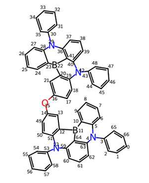 c1ccc(N2c3ccccc3B3c4cc(Oc5ccc6c(c5)B5c7ccccc7N(c7ccccc7)c7cccc(c75)N6c5ccccc5)ccc4N(c4ccccc4)c4cccc2c43)cc1